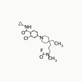 CCC1(CCCN(C)C(=O)F)CCN(c2ccc(C(=O)NC3CC3)c(Cl)c2)CC1